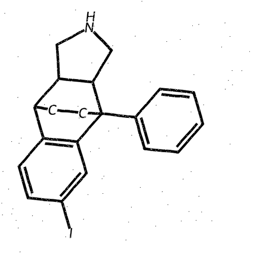 Ic1ccc2c(c1)C1(c3ccccc3)CCC2C2CNCC21